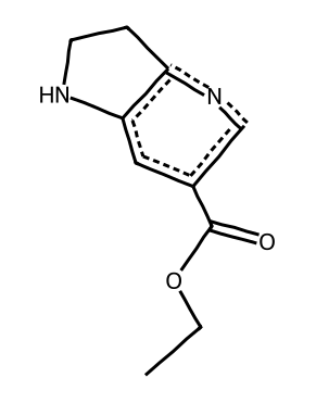 CCOC(=O)c1cnc2c(c1)NCC2